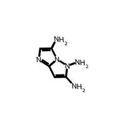 Nc1cc2ncc(N)n2n1N